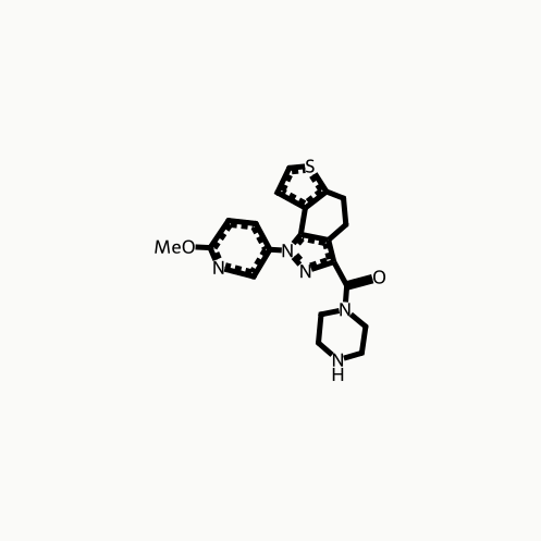 COc1ccc(-n2nc(C(=O)N3CCNCC3)c3c2-c2ccsc2CC3)cn1